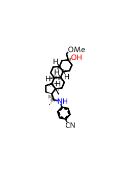 COC[C@@]1(O)CC[C@H]2[C@H](CC[C@@H]3[C@@H]2CC[C@]2(C)[C@@H]([C@@H](C)Nc4ccc(C#N)cc4)CC[C@@H]32)C1